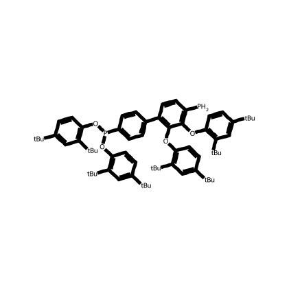 CC(C)(C)c1ccc(Oc2c(P)ccc(-c3ccc(P(Oc4ccc(C(C)(C)C)cc4C(C)(C)C)Oc4ccc(C(C)(C)C)cc4C(C)(C)C)cc3)c2Oc2ccc(C(C)(C)C)cc2C(C)(C)C)c(C(C)(C)C)c1